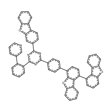 c1cncc(-c2ccccc2-c2nc(-c3ccc(-c4ccc(-c5cccc6sc7ccccc7c56)c5c4oc4ccccc45)cc3)nc(-c3ccc4c(c3)oc3ccccc34)n2)c1